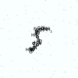 CC(F)(F)CN(CC(=O)Nc1ccc(COC(=O)NC2(c3ccc(-c4nc5ccn6c(=O)[nH]nc6c5cc4-c4ccccc4)cc3)CCC2)cc1)C(=O)CNC(=O)c1ccc(NN)nc1